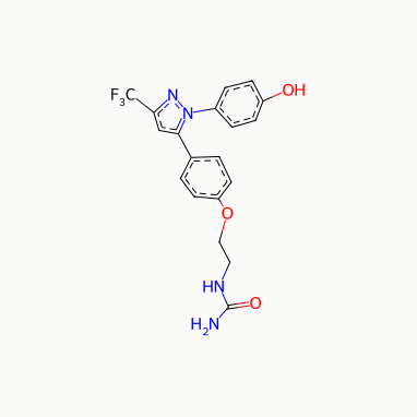 NC(=O)NCCOc1ccc(-c2cc(C(F)(F)F)nn2-c2ccc(O)cc2)cc1